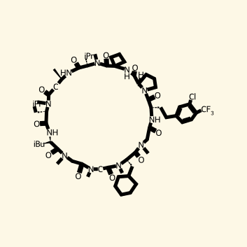 CC[C@H](C)[C@@H]1NC(=O)[C@H](CC(C)C)N(C)C(=O)C[C@@H](C)NC(=O)[C@H](C(C)C)N(C)C(=O)C2(CCC2)NC(=O)[C@@H]2CCCN2C(=O)[C@H](CCc2ccc(C(F)(F)F)c(Cl)c2)NC(=O)CN(C)C(=O)[C@H](CC2CCCCC2)N(C)C(=O)CN(C)C(=O)CN(C)C1=O